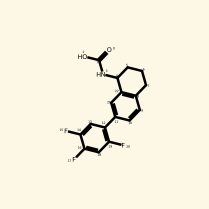 O=C(O)NC1CCCc2ccc(-c3cc(F)c(F)cc3F)cc21